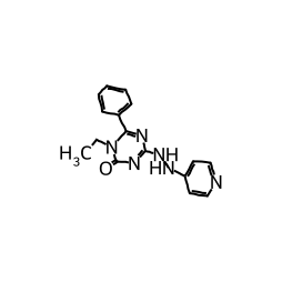 CCn1c(-c2ccccc2)nc(NNc2ccncc2)nc1=O